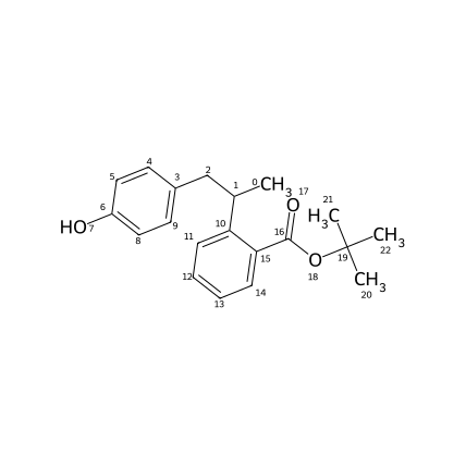 CC(Cc1ccc(O)cc1)c1ccccc1C(=O)OC(C)(C)C